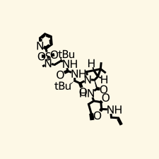 C#CCC(NC(=O)[C@@H]1[C@@H]2[C@H](CN1C(=O)[C@@H](NC(=O)N[C@H](CN(C)S(=O)(=O)c1ccccn1)C(C)(C)C)C(C)(C)C)C2(C)C)C(=O)C(=O)NCC=C